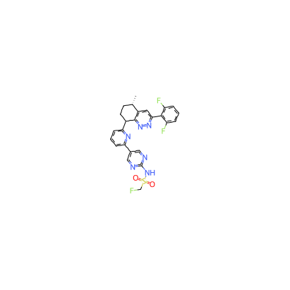 C[C@H]1CCC(c2cccc(-c3cnc(NS(=O)(=O)CF)nc3)n2)c2nnc(-c3c(F)cccc3F)cc21